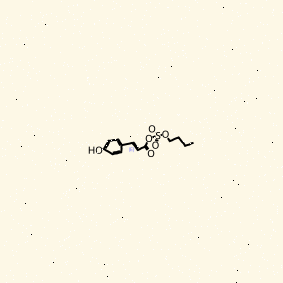 CCCCOS(=O)(=O)OC(=O)/C=C/c1ccc(O)cc1